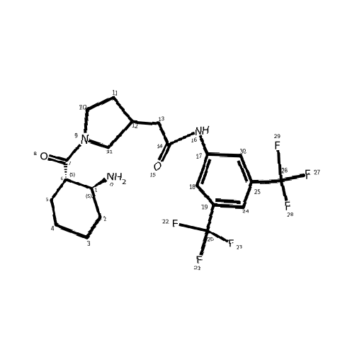 N[C@H]1CCCC[C@@H]1C(=O)N1CCC(CC(=O)Nc2cc(C(F)(F)F)cc(C(F)(F)F)c2)C1